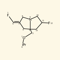 CC(C)OCC12C/C(=C/F)CN1CC(F)C2